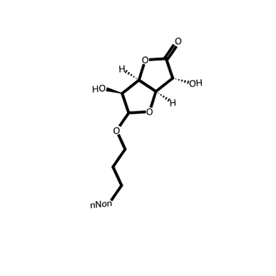 CCCCCCCCCCCCOC1O[C@H]2[C@H](OC(=O)[C@@H]2O)[C@@H]1O